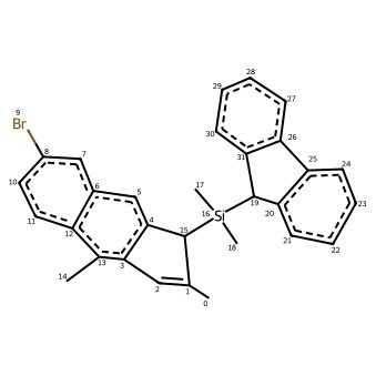 CC1=Cc2c(cc3cc(Br)ccc3c2C)C1[Si](C)(C)C1c2ccccc2-c2ccccc21